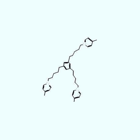 Cc1cc[n+](CCCCCc2cc(CCCCC[n+]3ccc(C)cc3)cc(CCCCC[n+]3ccc(C)cc3)c2)cc1